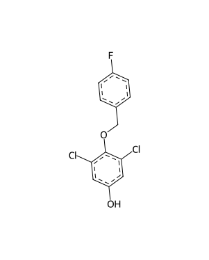 Oc1cc(Cl)c(OCc2ccc(F)cc2)c(Cl)c1